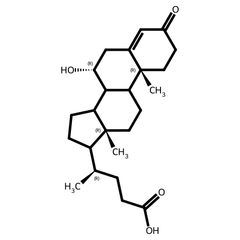 C[C@H](CCC(=O)O)C1CCC2C3C(CC[C@@]21C)[C@@]1(C)CCC(=O)C=C1C[C@H]3O